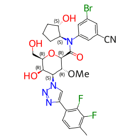 CO[C@@H]1[C@@H](n2cc(-c3ccc(C)c(F)c3F)nn2)[C@@H](O)[C@@H](CO)O[C@H]1C(=O)N(c1cc(Br)cc(C#N)c1)[C@H]1CCC[C@@H]1O